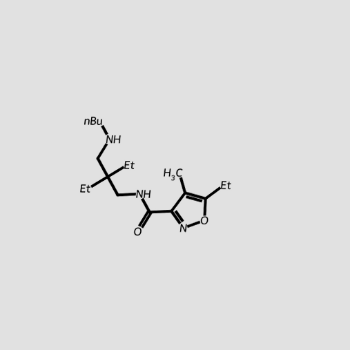 CCCCNCC(CC)(CC)CNC(=O)c1noc(CC)c1C